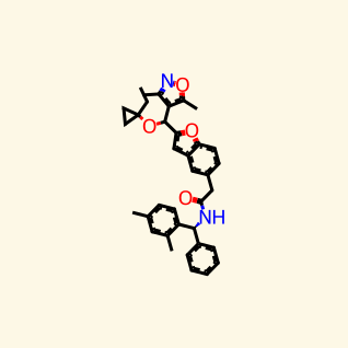 CCC1(OC(c2cc3cc(CC(=O)N[C@@H](c4ccccc4)c4ccc(C)cc4C)ccc3o2)c2c(C)noc2C)CC1